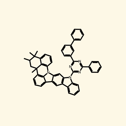 CC1CC2(C)c3c(cccc3C1(C)C)-n1c3cc4c(cc3c3cccc2c31)c1ccccc1n4-c1nc(-c2ccccc2)nc(-c2cccc(-c3ccccc3)c2)n1